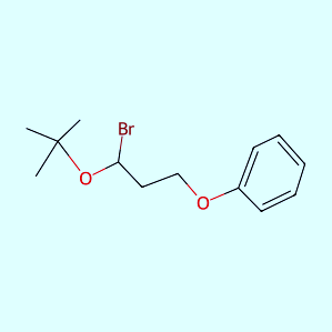 CC(C)(C)OC(Br)CCOc1ccccc1